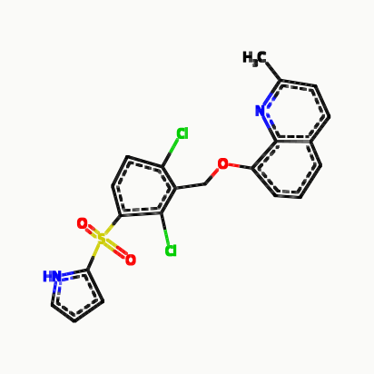 Cc1ccc2cccc(OCc3c(Cl)ccc(S(=O)(=O)c4ccc[nH]4)c3Cl)c2n1